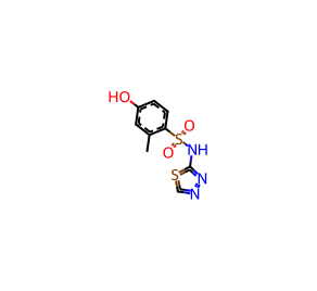 Cc1cc(O)ccc1S(=O)(=O)Nc1nncs1